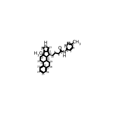 Cc1ccc(NC(=O)CCC[C@@H]2c3c[nH]nc3[C@@]3(C)CCC4c5ccccc5CCC4C23)nn1